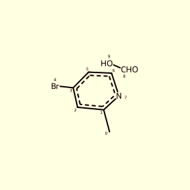 Cc1cc(Br)ccn1.O=CO